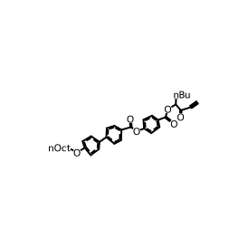 C#CC(=O)C(CCCC)OC(=O)c1ccc(OC(=O)c2ccc(-c3ccc(OCCCCCCCC)cc3)cc2)cc1